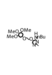 CCCCNc1nc(C)ncc1OCCOc1cc(OC)c(OC)c(OC)c1